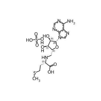 CSCC[C@H](NC[C@H]1O[C@@H](n2cnc3c(N)ncnc32)[C@H](O)[C@@H]1O)C(=O)O.O=S(=O)(O)O